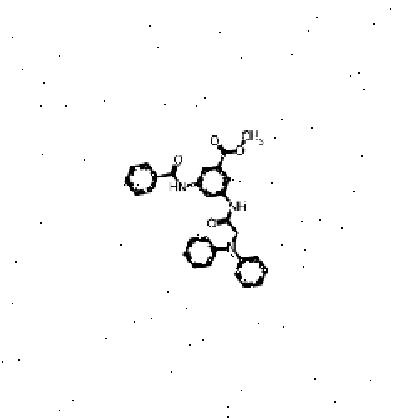 COC(=O)c1cc(NC(=O)CN(c2ccccc2)c2ccccc2)cc(NC(=O)c2ccccc2)c1